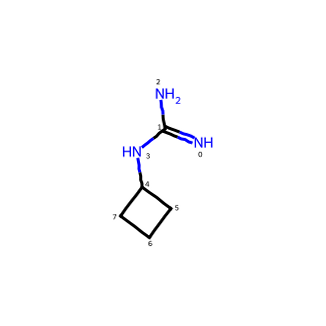 N=C(N)NC1CCC1